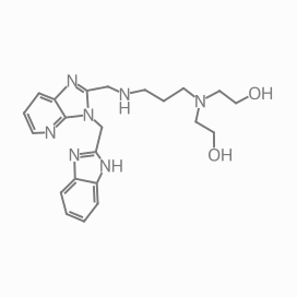 OCCN(CCO)CCCNCc1nc2cccnc2n1Cc1nc2ccccc2[nH]1